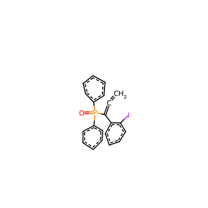 C=C=C(c1ccccc1I)P(=O)(c1ccccc1)c1ccccc1